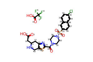 O=C(O)C(F)(F)F.O=C(O)CC1Cc2nc(C(=O)N3CCN(S(=O)(=O)c4ccc5cc(Cl)ccc5c4)CC3)sc2CN1